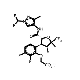 Cc1nn(C(F)F)cc1NC(=O)[C@@H]1O[C@@](C)(C(F)(F)F)[C@@H](C)[C@H]1c1ccc(F)c(F)c1OCC(=O)O